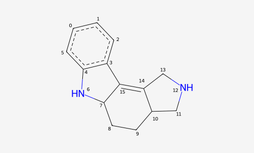 c1ccc2c(c1)NC1CCC3CNCC3=C21